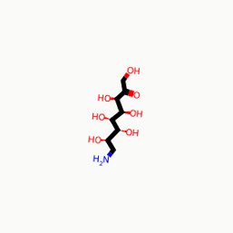 NC[C@H](O)[C@@H](O)[C@H](O)[C@H](O)[C@@H](O)C(=O)CO